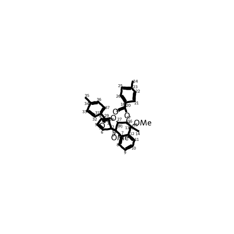 CO[C@@]1(C2C=CC=C2)c2ccccc2[C@@](C)(OC)[C@@H](OC(=O)c2ccc(C)cc2)[C@H]1OC(=O)c1ccc(C)cc1